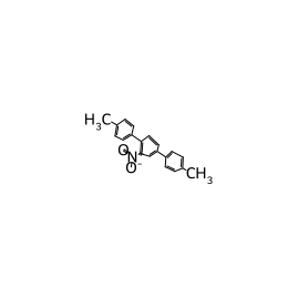 Cc1ccc(-c2ccc(-c3ccc(C)cc3)c([N+](=O)[O-])c2)cc1